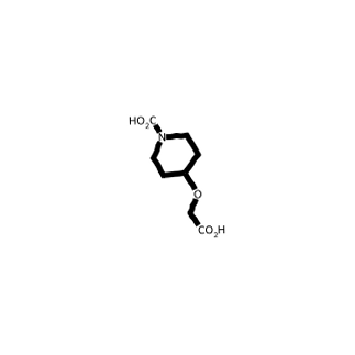 O=C(O)COC1CCN(C(=O)O)CC1